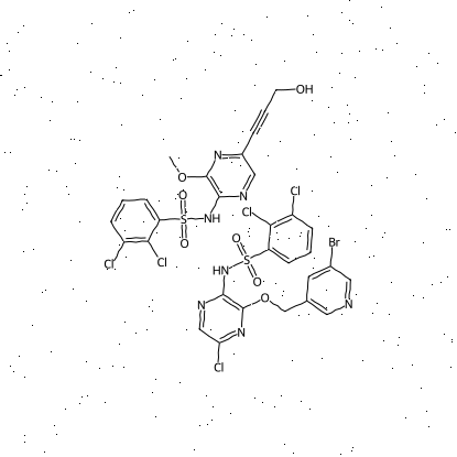 COc1nc(C#CCO)cnc1NS(=O)(=O)c1cccc(Cl)c1Cl.O=S(=O)(Nc1ncc(Cl)nc1OCc1cncc(Br)c1)c1cccc(Cl)c1Cl